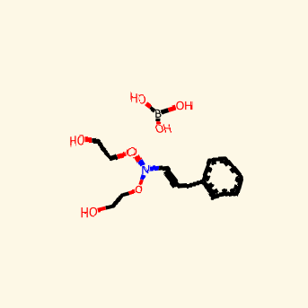 OB(O)O.OCCON(C=Cc1ccccc1)OCCO